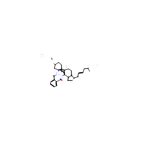 CCOC(=O)C(C)CC=C[C@@H](C)[C@H]1CC[C@H]2C34C=CC5(CC(OCOC)CC[C@]5(C)[C@H]3CC[C@]12C)n1c(=O)c2ccccc2c(=O)n14